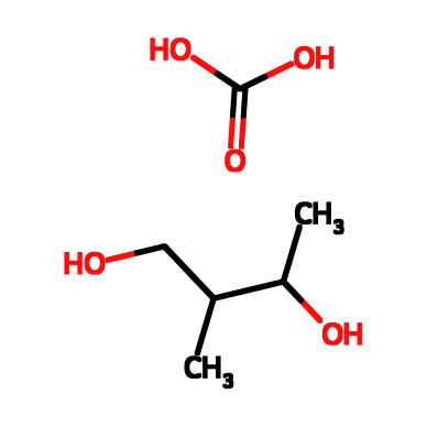 CC(O)C(C)CO.O=C(O)O